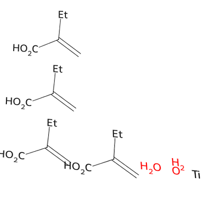 C=C(CC)C(=O)O.C=C(CC)C(=O)O.C=C(CC)C(=O)O.C=C(CC)C(=O)O.O.O.[Ti]